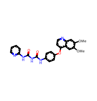 COc1cc2nccc(Oc3ccc(NC(=O)NC(=O)Nc4ccccn4)cc3)c2cc1OC